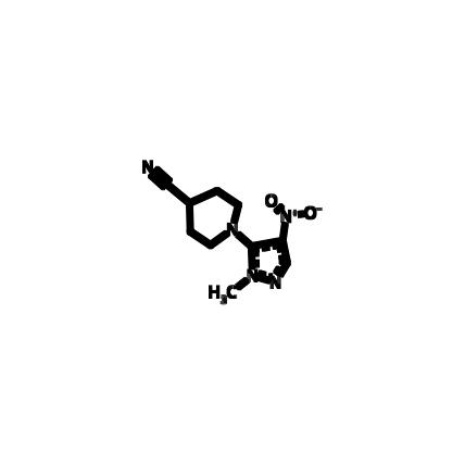 Cn1ncc([N+](=O)[O-])c1N1CCC(C#N)CC1